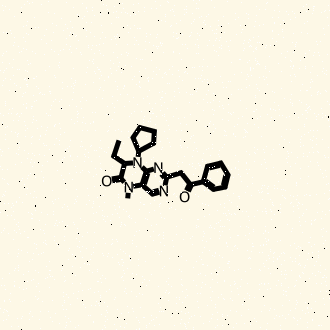 CCC1C(=O)N(C)c2cnc(CC(=O)c3ccccc3)nc2N1C1CCCC1